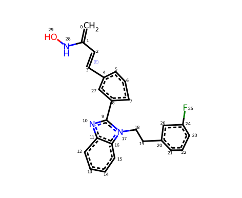 C=C(/C=C/c1cccc(-c2nc3ccccc3n2CCc2cccc(F)c2)c1)NO